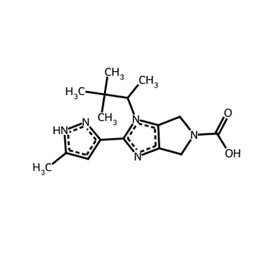 Cc1cc(-c2nc3c(n2C(C)C(C)(C)C)CN(C(=O)O)C3)n[nH]1